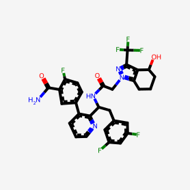 NC(=O)c1cc(-c2cccnc2C(Cc2cc(F)cc(F)c2)NC(=O)Cn2nc(C(F)(F)F)c3c2CCCC3O)ccc1F